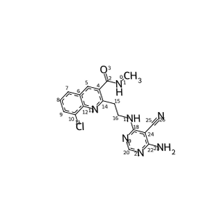 CNC(=O)c1cc2cccc(Cl)c2nc1CCNc1ncnc(N)c1C#N